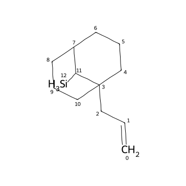 C=CCC12CCCC(CCC1)C2[SiH3]